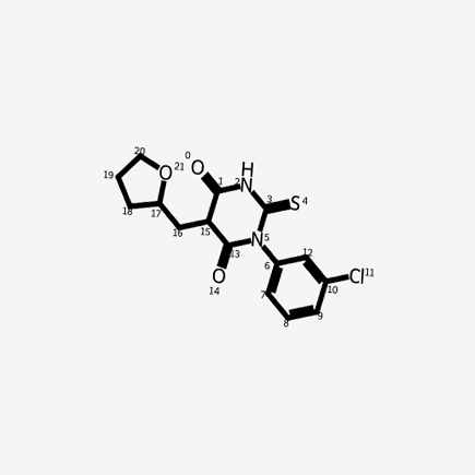 O=C1NC(=S)N(c2cccc(Cl)c2)C(=O)C1CC1CCCO1